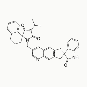 CC(C)N1C(=O)N(Cc2cnc3cc4c(cc3c2)C[C@@]2(C4)C(=O)Nc3ccccc32)C2(CCCc3ccccc32)C1=O